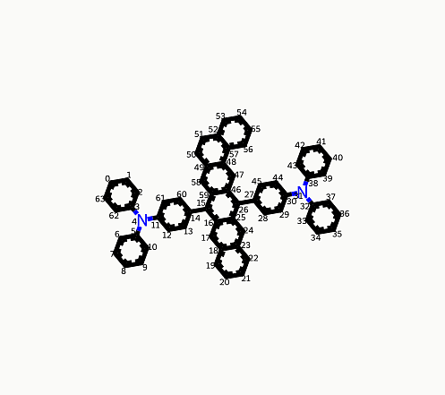 c1ccc(N(c2ccccc2)c2ccc(-c3c4cc5ccccc5cc4c(-c4ccc(N(c5ccccc5)c5ccccc5)cc4)c4cc5c(ccc6ccccc65)cc34)cc2)cc1